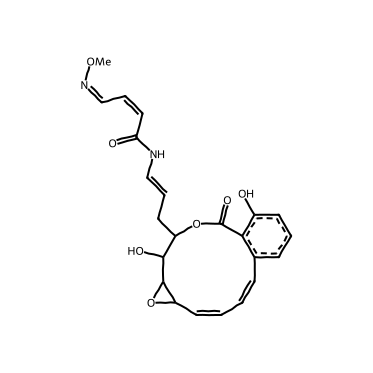 CO/N=C\C=C/C(=O)N/C=C/CC1OC(=O)c2c(O)cccc2/C=C\C=C/C2OC2C1O